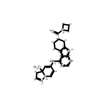 CC12C=C(Nc3ncnc4sc5c(c34)CC[C@H](C(=O)N3CCC3)C5)C=CN1N=CC2